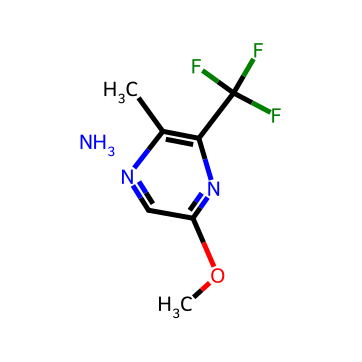 COc1cnc(C)c(C(F)(F)F)n1.N